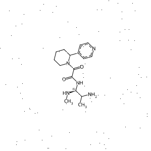 CN[C@@H](NC(=O)C(=O)N1CCCCC1c1ccncc1)C(C)N